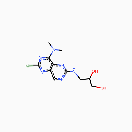 CN(C)c1nc(Cl)nc2cnc(NCC(O)CO)nc12